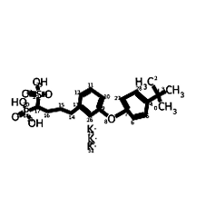 CC(C)(C)c1ccc(Oc2cccc(CCCC(P(=O)(O)O)S(=O)(=O)O)c2)cc1.[K].[K].[K]